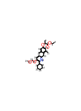 CCOC(=O)C(C)Oc1cc(C)c(Cc2ccc(OCOC)c(C3CCCCC3)n2)c(C)c1